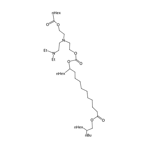 CCCCCCC(=O)OCCN(CCOC(=O)OC(CCCCCC)CCCCCCCCCC(=O)OCC(CCCC)CCCCCC)CCN(CC)CC